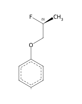 C[C@H](F)COc1cc[c]cc1